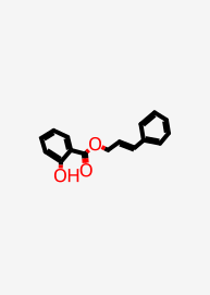 O=C(OCC=Cc1ccccc1)c1ccccc1O